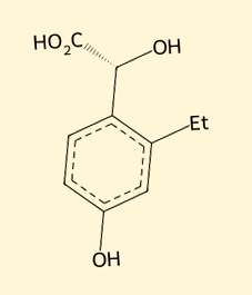 CCc1cc(O)ccc1[C@@H](O)C(=O)O